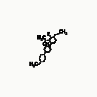 CCCC1CC=C(c2ccc(C3CCC(CC)CC3)cc2)C(C(C)C)=C1F